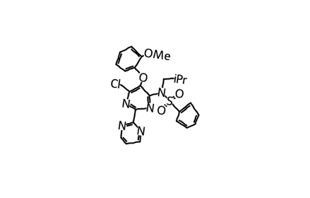 COc1ccccc1Oc1c(Cl)nc(-c2ncccn2)nc1N(CC(C)C)S(=O)(=O)c1ccccc1